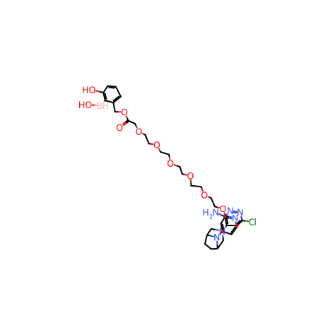 Nc1nnc(Cl)cc1N1CC2CCC(C1)N2c1ccnc(OCCOCCOCCOCCOCCOCC(=O)OCc2cccc(O)c2BO)c1